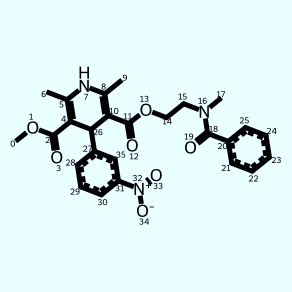 COC(=O)C1=C(C)NC(C)=C(C(=O)OCCN(C)C(=O)c2ccccc2)C1c1cccc([N+](=O)[O-])c1